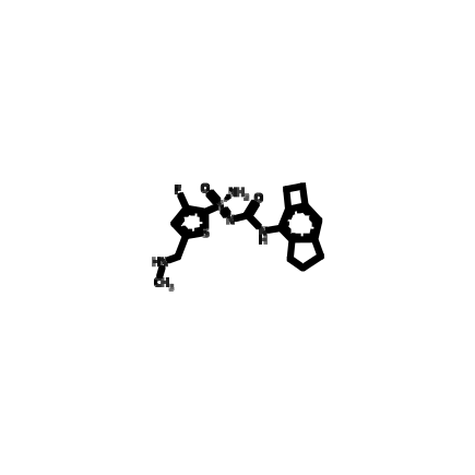 CNCc1cc(F)c([S@@](N)(=O)=NC(=O)Nc2c3c(cc4c2CC4)CCC3)s1